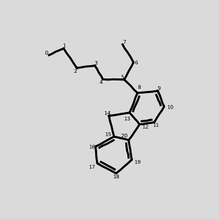 CCCCCC(CC)c1cccc2c1Cc1ccccc1-2